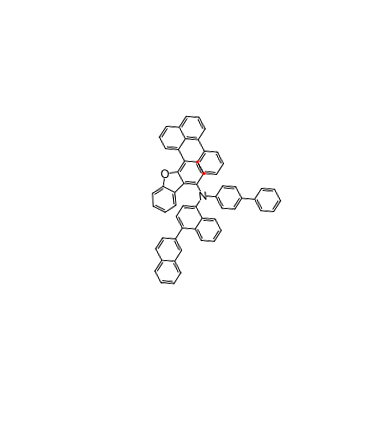 c1ccc(-c2ccc(N(c3ccc(-c4ccc5ccccc5c4)c4ccccc34)c3ccc(-c4cccc5cccc(-c6ccccc6)c45)c4oc5ccccc5c34)cc2)cc1